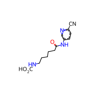 N#Cc1ccc(NC(=O)CCCCCNC(=O)O)cn1